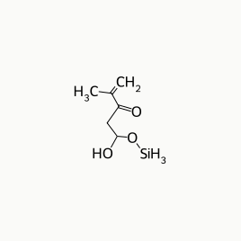 C=C(C)C(=O)CC(O)O[SiH3]